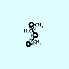 C/C(=N\c1ccccc1C(C)C)c1cccc(/C(C)=N/c2c(C)cccc2C(C)C)n1